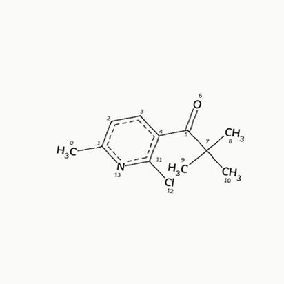 Cc1ccc(C(=O)C(C)(C)C)c(Cl)n1